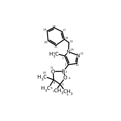 Cc1c(B2OC(C)(C)C(C)(C)O2)cnn1Cc1ccccc1